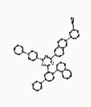 N#Cc1cccc(-c2ccc3cc(-c4nc(-c5ccc(-c6ccccc6)cc5)nc(-c5cc(-c6ccccc6)ccc5-c5cccc6ccccc56)n4)ccc3c2)c1